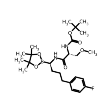 COC[C@@H](NC(=O)OC(C)(C)C)C(=O)N[C@@H](CCCc1ccc(F)cc1)B1OC(C)(C)C(C)(C)O1